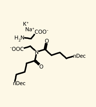 CCCCCCCCCCCCCC(=O)N(CC(=O)[O-])C(=O)CCCCCCCCCCCCC.NCC(=O)[O-].[K+].[Na+]